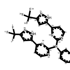 FC(F)(F)c1cc(-c2ccnc(N(c3ccccc3)c3nccc(-c4cc(C(F)(F)F)n[nH]4)n3)n2)[nH]n1